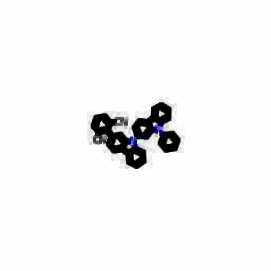 N#Cc1cccc(C#N)c1-c1ccc2c3ccccc3n(-c3ccc4c5ccccc5n(-c5ccccc5)c4c3)c2c1